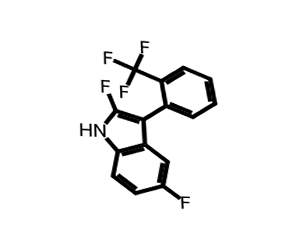 Fc1ccc2[nH]c(F)c(-c3ccccc3C(F)(F)F)c2c1